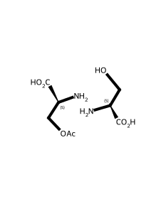 CC(=O)OC[C@H](N)C(=O)O.N[C@@H](CO)C(=O)O